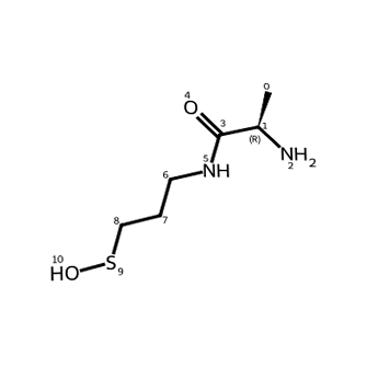 C[C@@H](N)C(=O)NCCCSO